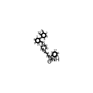 Cc1cccc(-c2ccccc2CN2CCN(CCCn3c(=O)[nH]c4ccccc43)CC2)c1C